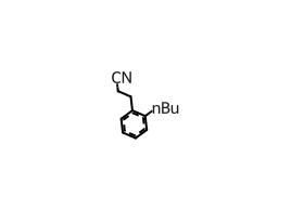 CCCCc1ccccc1CCC#N